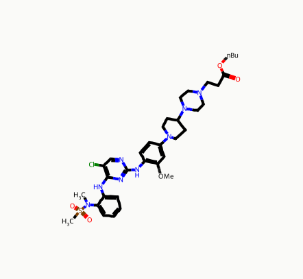 CCCCOC(=O)CCN1CCN(C2CCN(c3ccc(Nc4ncc(Cl)c(Nc5ccccc5N(C)S(C)(=O)=O)n4)c(OC)c3)CC2)CC1